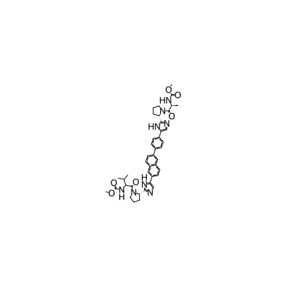 COC(=O)N[C@@H](C)C(=O)N1CCC[C@H]1c1ncc(-c2ccc(-c3ccc4cc(-c5cnc([C@@H]6CCCN6C(=O)[C@@H](NC(=O)OC)C(C)C)[nH]5)ccc4c3)cc2)[nH]1